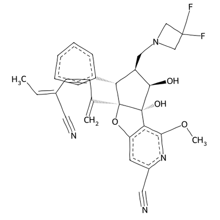 C=C(/C=C\C(C#N)=C/C)[C@@]12Oc3cc(C#N)nc(OC)c3[C@]1(O)[C@H](O)[C@H](CN1CC(F)(F)C1)[C@H]2c1ccccc1